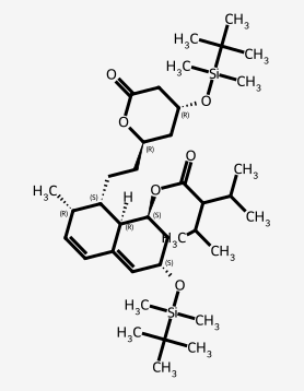 CC(C)C(C(=O)O[C@H]1C[C@H](O[Si](C)(C)C(C)(C)C)C=C2C=C[C@H](C)[C@H](CC[C@@H]3C[C@@H](O[Si](C)(C)C(C)(C)C)CC(=O)O3)[C@H]21)C(C)C